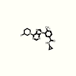 Cc1ccc(C(=O)NC2CC2)cc1-n1cnc2c(N3CCCC(F)C3)ncnc21